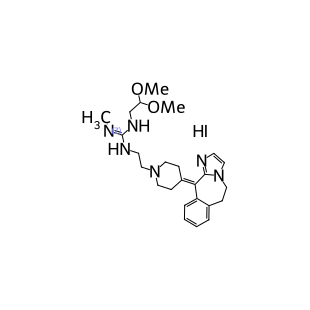 C/N=C(/NCCN1CCC(=C2c3ccccc3CCn3ccnc32)CC1)NCC(OC)OC.I